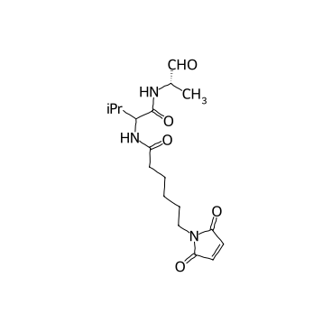 CC(C)C(NC(=O)CCCCCN1C(=O)C=CC1=O)C(=O)N[C@@H](C)C=O